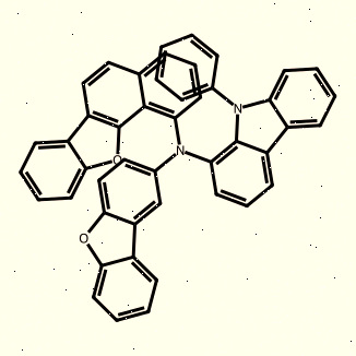 c1ccc(-n2c3ccccc3c3cccc(N(c4ccc5oc6ccccc6c5c4)c4cccc5ccc6c7ccccc7oc6c45)c32)cc1